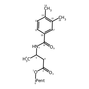 CCCC(C)OC(=O)CC(C)NC(=O)c1ccc(C)c(C)c1